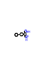 C1=CC(c2cn[nH]c2)(c2cn[nH]c2)C=CC1c1ccccc1